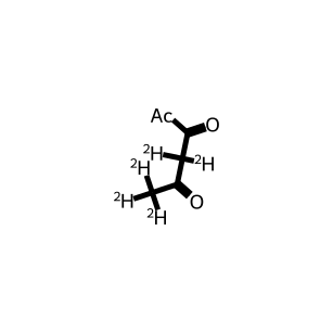 [2H]C([2H])([2H])C(=O)C([2H])([2H])C(=O)C(C)=O